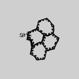 [SiH4].c1cc2ccc3cccc4ccc(c1)c2c34